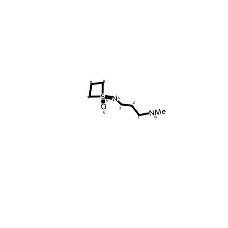 CNCCCN=S1(=O)CCC1